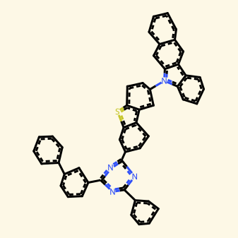 c1ccc(-c2cccc(-c3nc(-c4ccccc4)nc(-c4ccc5c(c4)sc4ccc(-n6c7ccccc7c7cc8ccccc8cc76)cc45)n3)c2)cc1